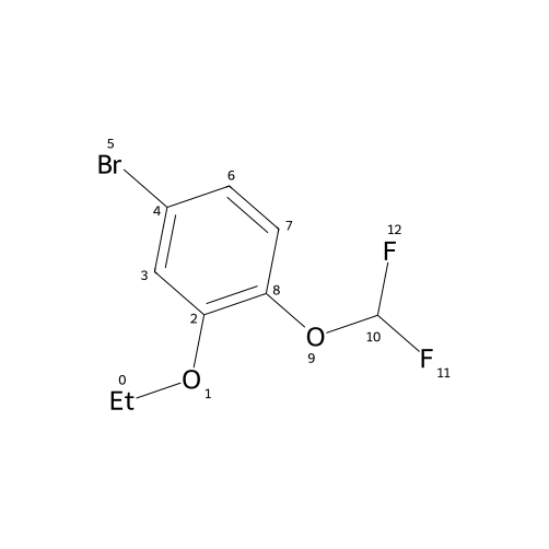 CCOc1cc(Br)ccc1OC(F)F